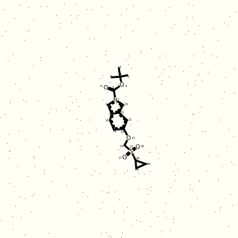 CC(C)(C)OC(=O)n1cc2ccc(OCS(=O)(=O)C3CC3)cc2c1